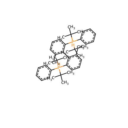 Cc1cccc([PH](c2ccccc2)(C(C)(C)C)C(C)(C)C)c1-c1c(C)cccc1[PH](c1ccccc1)(C(C)(C)C)C(C)(C)C